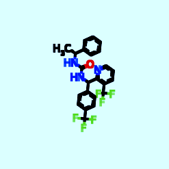 C[C@H](NC(=O)NC(c1ccc(C(F)(F)F)cc1)c1ncccc1C(F)(F)F)c1ccccc1